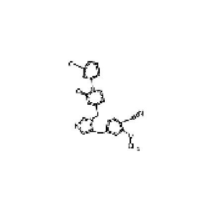 COc1cc(Cc2cncn2Cc2ccn(-c3cccc(Cl)c3)c(=O)c2)ccc1C#N